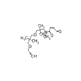 C#CCOCC(C)(C)COCC(C)(C)CN(C)C(=O)/C=C\C=O